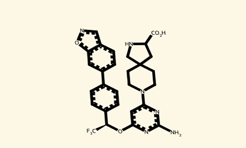 Nc1nc(O[C@H](c2ccc(-c3ccc4cnoc4c3)cc2)C(F)(F)F)cc(N2CCC3(CC2)CNC(C(=O)O)C3)n1